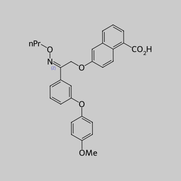 CCCO/N=C(\COc1ccc2c(C(=O)O)cccc2c1)c1cccc(Oc2ccc(OC)cc2)c1